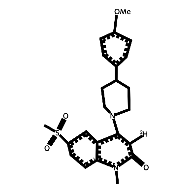 [2H]c1c(N2CCC(c3ccc(OC)cc3)CC2)c2cc(S(C)(=O)=O)ccc2n(C)c1=O